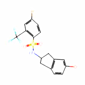 [O]c1ccc2c(c1)CC(NS(=O)(=O)c1ccc(Br)cc1C(F)(F)F)C2